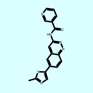 Cc1ncc(-c2ccc3nnc(NC(=O)c4cccnc4)cc3c2)s1